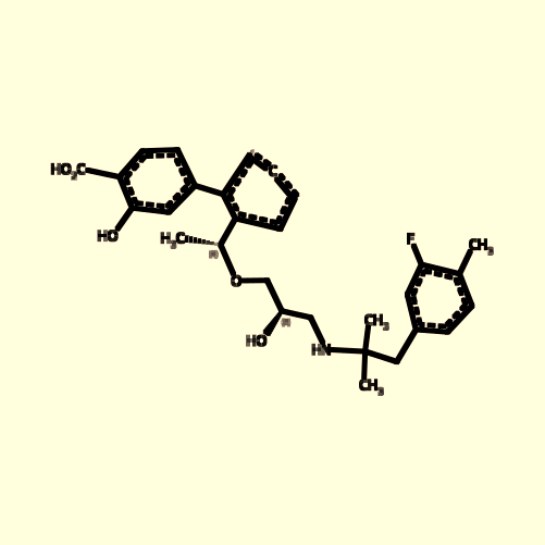 Cc1ccc(CC(C)(C)NC[C@@H](O)CO[C@H](C)c2ccccc2-c2ccc(C(=O)O)c(O)c2)cc1F